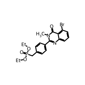 CCOP(=O)(Cc1ccc(-c2nc3cccc(Br)c3c(=O)n2C)cc1)OCC